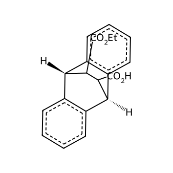 CCOC(=O)C1C(C(=O)O)[C@H]2c3ccccc3[C@H]1c1ccccc12